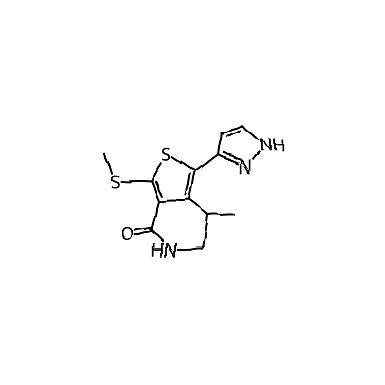 CSc1sc(-c2cc[nH]n2)c2c1C(=O)NCC2C